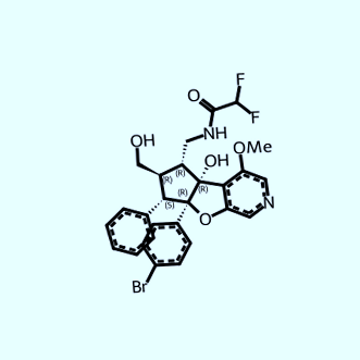 COc1cncc2c1[C@]1(O)[C@@H](CNC(=O)C(F)F)[C@H](CO)[C@@H](c3ccccc3)[C@]1(c1ccc(Br)cc1)O2